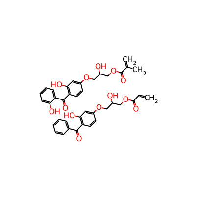 C=C(C)C(=O)OCC(O)COc1ccc(C(=O)c2ccccc2O)c(O)c1.C=CC(=O)OCC(O)COc1ccc(C(=O)c2ccccc2)c(O)c1